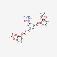 CC1(C)Oc2cccc(OCCCN(CCCOc3cccc4c3OC(C)(C)O4)CCC(=O)NN)c2O1